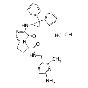 Cc1nc(N)ccc1CNC(=O)[C@@H]1CCc2cnc(NC3CC3(c3ccccc3)c3ccccc3)c(=O)n21.Cl.Cl